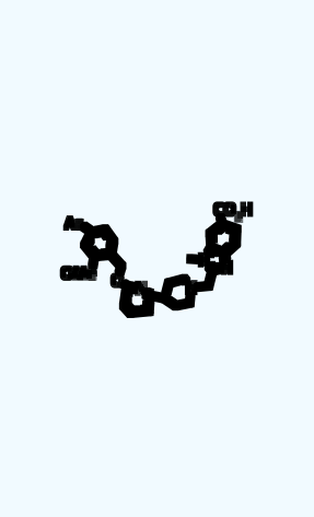 COc1cc(C(C)=O)ccc1COc1cccc(C2CCN(Cc3nc4ccc(C(=O)O)cc4n3C)CC2)n1